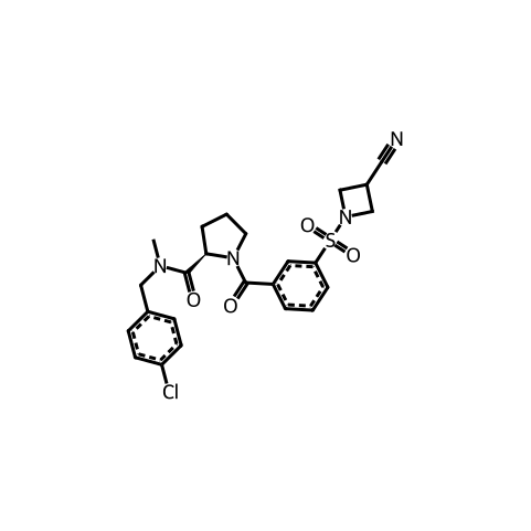 CN(Cc1ccc(Cl)cc1)C(=O)[C@H]1CCCN1C(=O)c1cccc(S(=O)(=O)N2CC(C#N)C2)c1